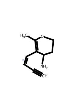 C#C/C=C\C1=C(C)OCCC1N